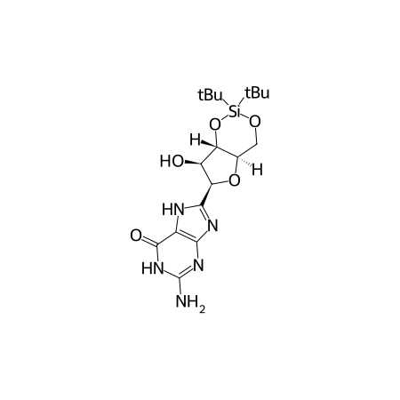 CC(C)(C)[Si]1(C(C)(C)C)OC[C@H]2O[C@@H](c3nc4nc(N)[nH]c(=O)c4[nH]3)[C@@H](O)[C@@H]2O1